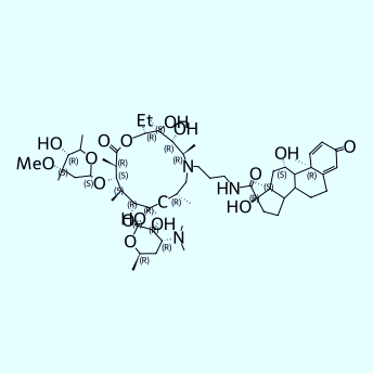 CC[C@H]1OC(=O)[C@H](C)[C@@H](O[C@@H]2C[C@](C)(OC)[C@H](O)C(C)O2)[C@H](C)[C@@H](O[C@@H]2O[C@H](C)C[C@@H](N(C)C)[C@H]2O)[C@](C)(O)C[C@@H](C)CN(CCCNC(=O)[C@@]2(O)CCC3C4CCC5=CC(=O)C=C[C@]5(C)C4[C@@H](O)C[C@@]32C)[C@H](C)[C@@H](O)[C@]1(C)O